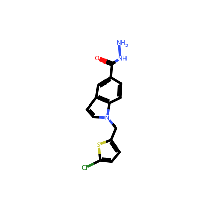 NNC(=O)c1ccc2c(ccn2Cc2ccc(Cl)s2)c1